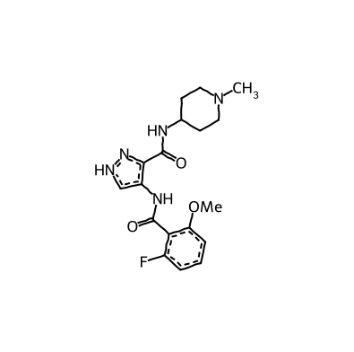 COc1cccc(F)c1C(=O)Nc1c[nH]nc1C(=O)NC1CCN(C)CC1